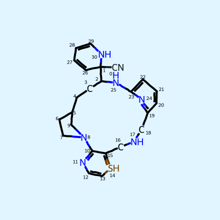 N#CC1(C2CCC3CCN(C3)C3=NC=C[SH]=C3CNCc3cccc(n3)N2)C=CC=CN1